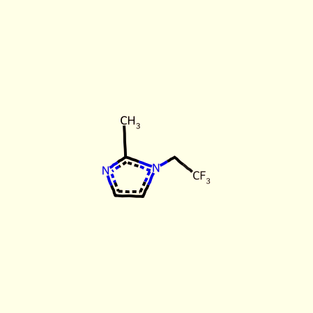 Cc1nccn1CC(F)(F)F